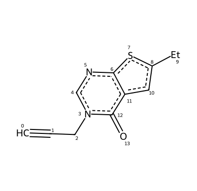 C#CCn1cnc2sc(CC)cc2c1=O